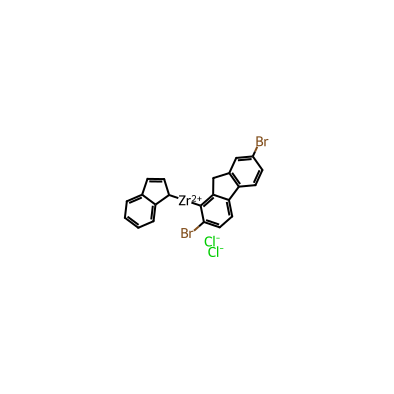 Brc1ccc2c(c1)Cc1c-2ccc(Br)[c]1[Zr+2][CH]1C=Cc2ccccc21.[Cl-].[Cl-]